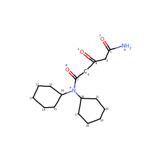 NC(=O)CC(=O)CC(=O)N(C1CCCCC1)C1CCCCC1